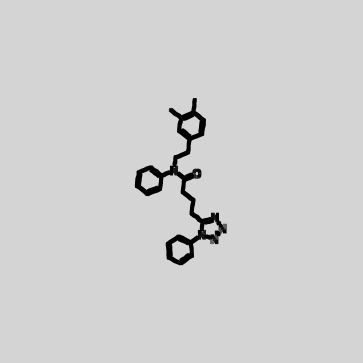 Cc1ccc(CCN(C(=O)CCCc2nnnn2-c2ccccc2)c2ccccc2)cc1C